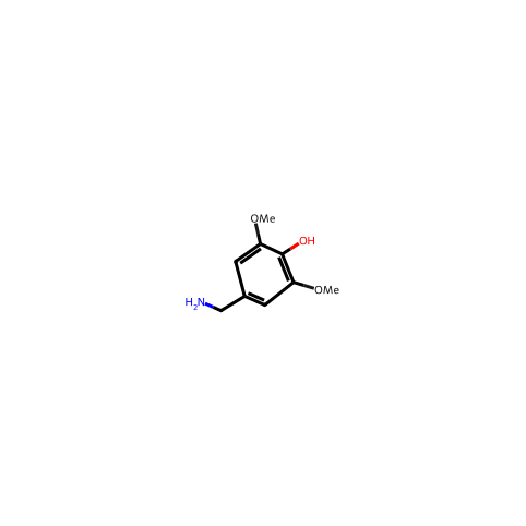 COc1cc(CN)cc(OC)c1O